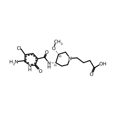 CO[C@@H]1CN(CCCC(=O)O)CC[C@@H]1NC(=O)c1cc(Cl)c(N)[nH]c1=O